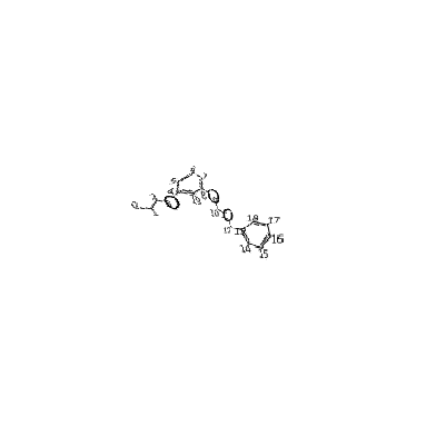 CCCOc1cccc(OCOCc2ccccc2)c1